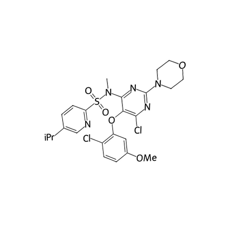 COc1ccc(Cl)c(Oc2c(Cl)nc(N3CCOCC3)nc2N(C)S(=O)(=O)c2ccc(C(C)C)cn2)c1